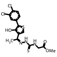 COC(=O)CNC(=S)N/N=C(/C)c1csc(-c2ccc(Cl)c(Cl)c2)c1O